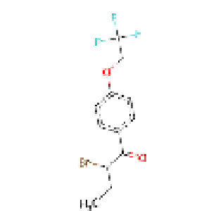 CCC(Br)C(=O)c1ccc(OCC(F)(F)F)cc1